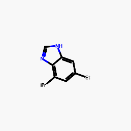 CCc1cc(C(C)C)c2nc[nH]c2c1